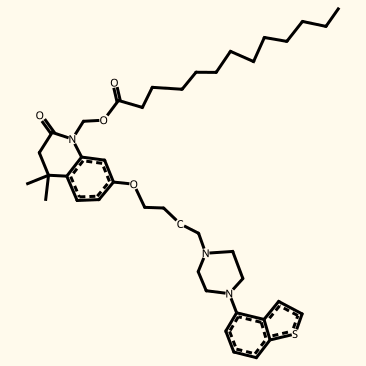 CCCCCCCCCCCCC(=O)OCN1C(=O)CC(C)(C)c2ccc(OCCCCN3CCN(c4cccc5sccc45)CC3)cc21